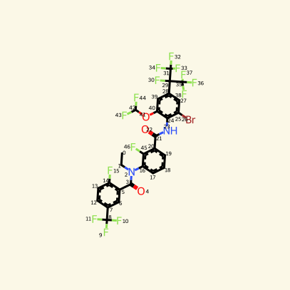 CCN(C(=O)c1cc(C(F)(F)F)ccc1F)c1cccc(C(=O)Nc2c(Br)cc(C(F)(C(F)(F)F)C(F)(F)F)cc2OC(F)F)c1F